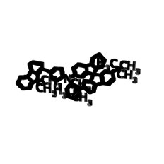 CC(C)(C)c1ccc2c(c1)C1(c3ccccc3-c3ccc(N(c4ccccc4)c4ccc(-c5cccc6c5C(C)(C)c5ccccc5-6)cc4)cc31)c1cc(C(C)(C)C)ccc1-2